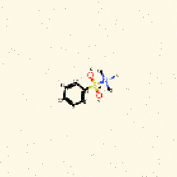 C[N+](C)(C)S(=O)(=O)c1ccccc1